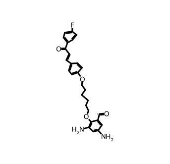 Nc1cc(N)c(OCCCCCCOc2ccc(C=CC(=O)c3ccc(F)cc3)cc2)c([C]=O)c1